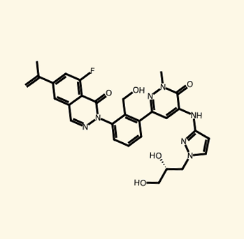 C=C(C)c1cc(F)c2c(=O)n(-c3cccc(-c4cc(Nc5ccn(C[C@@H](O)CO)n5)c(=O)n(C)n4)c3CO)ncc2c1